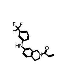 C=CC(=O)N1CCc2ccc(Nc3cccc(C(F)(F)F)c3)cc2C1